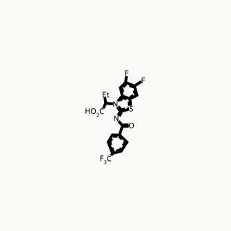 CCC(C(=O)O)n1c(=NC(=O)c2ccc(C(F)(F)F)cc2)sc2cc(F)c(F)cc21